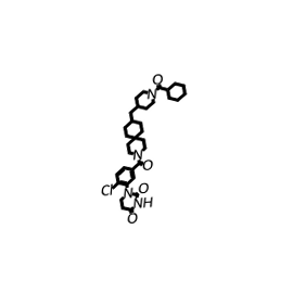 O=C1CCN(c2cc(C(=O)N3CCC4(CCC(CC5CCN(C(=O)C6CCCCC6)CC5)CC4)CC3)ccc2Cl)C(=O)N1